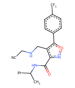 CC(C)C(C)NC(=O)c1noc(-c2ccc(C(F)(F)F)cc2)c1CNCC#N